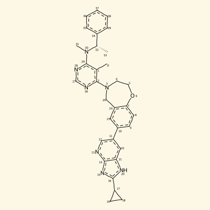 Cc1c(N2CCOc3ccc(-c4cnc5nc(C6CC6)[nH]c5c4)cc3C2)ncnc1N(C)[C@@H](C)c1ccccc1